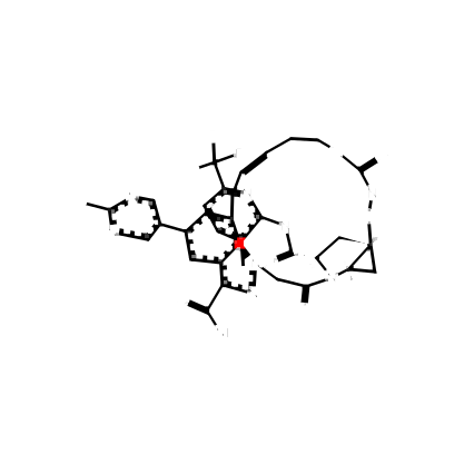 Cc1ncc(-c2cc3c4c(c2)c(C(N)=O)nn4CC(=O)N2[C@H](C(=O)Nc4nc(C(F)(F)F)ccc4C)C[C@@]4(CNC(=O)CCCC=CC3)C[C@@H]24)cn1